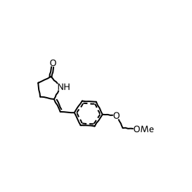 COCOc1ccc(/C=C2/CCC(=O)N2)cc1